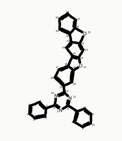 c1ccc(-c2nc(-c3ccccc3)nc(-c3ccc4c(c3)oc3cc5oc6ccccc6c5cc34)n2)cc1